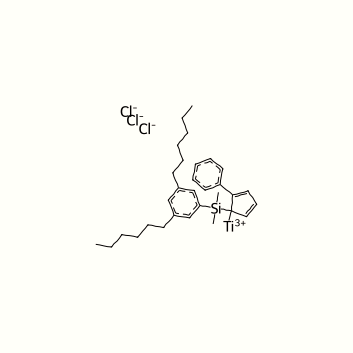 CCCCCCc1cc(CCCCCC)cc([Si](C)(C)[C]2([Ti+3])C=CC=C2c2ccccc2)c1.[Cl-].[Cl-].[Cl-]